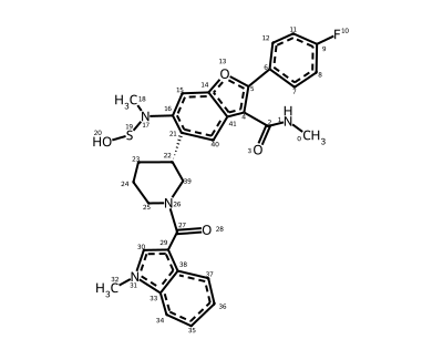 CNC(=O)c1c(-c2ccc(F)cc2)oc2cc(N(C)SO)c([C@H]3CCCN(C(=O)c4cn(C)c5ccccc45)C3)cc12